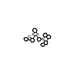 c1cc(-c2nc3ccccc3nc2-c2cccc3c2oc2ccccc23)cc(N2c3c(ccc4ccccc34)-c3cccc4cccc2c34)c1